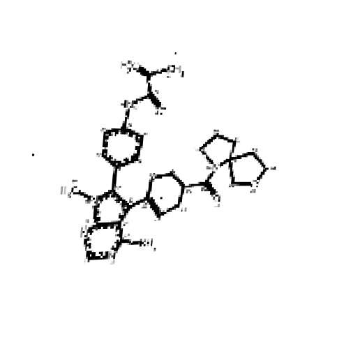 C=C(C)C(=O)Nc1ccc(-c2c(C3=CC[C@H](C(=O)N4CCC[C@]45CCOC5)CC3)c3c(N)ncnc3n2C)cc1